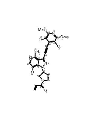 C=CC(=O)N1CCC(n2nc(C#Cc3c(Cl)c(OC)nc(OC)c3Cl)c3c(N)ncc(Cl)c32)C1